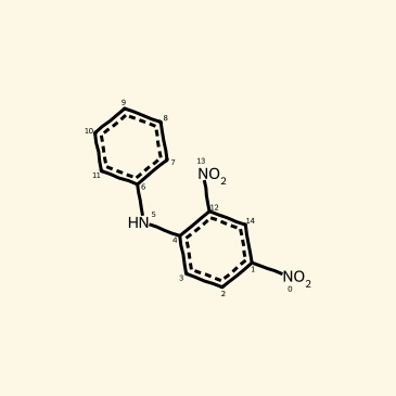 O=[N+]([O-])c1ccc(Nc2ccccc2)c([N+](=O)[O-])c1